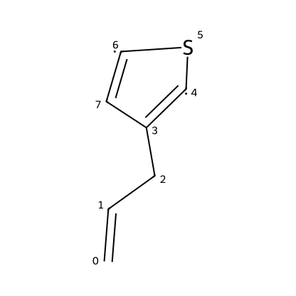 C=CCc1[c]s[c]c1